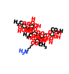 CC1O[C@H](O[C@@H]2C(CO)O[C@@H](OC3[C@@H](O)C(C)O[C@@H](OC4[C@@H](O)C(C)O[C@@H](OCCCCCN)[C@H]4O)[C@H]3O[C@H]3OC(CO[C@H]4OC(C(=O)O)[C@@H](O)C(O)C4O)[C@@H](O)C(O)C3O)C(O)C2O)[C@@H](O)C(O)[C@H]1O